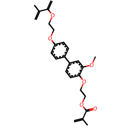 C=C(C)C(=C)OCCOc1ccc(-c2ccc(OCCOC(=O)C(=C)C)c(OC)c2)cc1